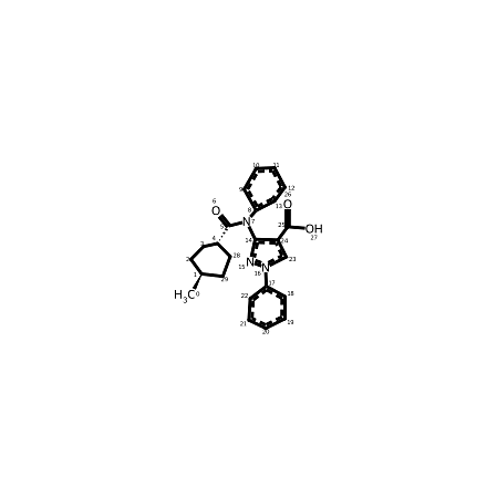 C[C@H]1CC[C@H](C(=O)N(c2ccccc2)c2nn(-c3ccccc3)cc2C(=O)O)CC1